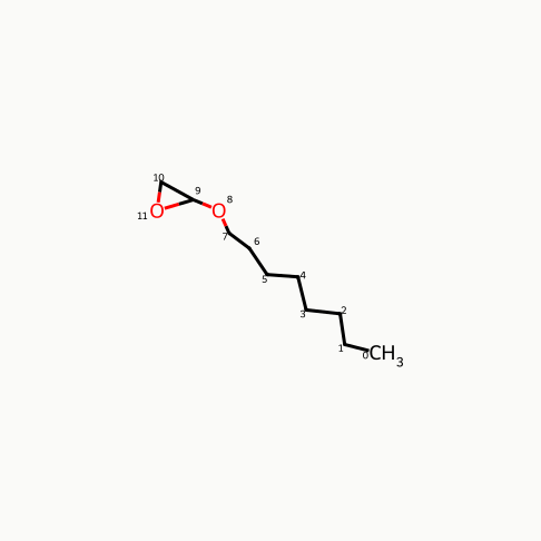 CCCCCCCCOC1CO1